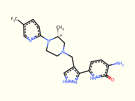 C[C@@H]1CN(Cc2c[nH]nc2-c2ccc(N)c(=O)[nH]2)CCN1c1ccc(C(F)(F)F)cn1